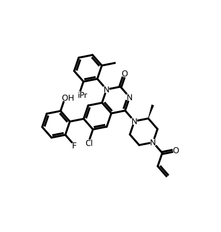 C=CC(=O)N1CCN(c2nc(=O)n(-c3c(C)cccc3C(C)C)c3cc(-c4c(O)cccc4F)c(Cl)cc23)[C@@H](C)C1